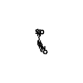 CC1(C)SCN(CCCCN2CCN(c3ccc4ccccc4n3)CC2)C1=O